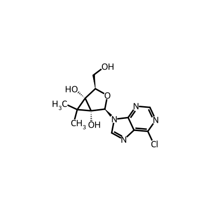 CC1(C)[C@]2(O)[C@H](n3cnc4c(Cl)ncnc43)O[C@H](CO)[C@]12O